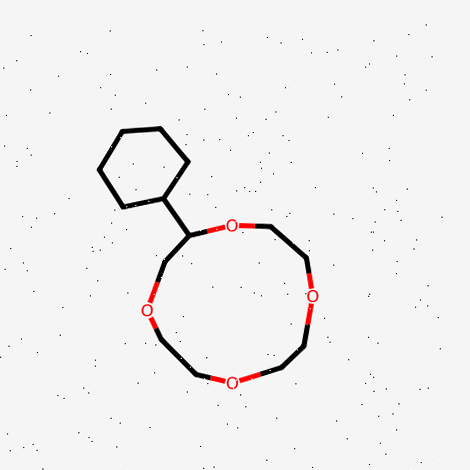 C1CCC(C2COCCOCCOCCO2)CC1